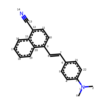 CN(C)c1ccc(C=Cc2ccc(C#N)c3ccccc23)cc1